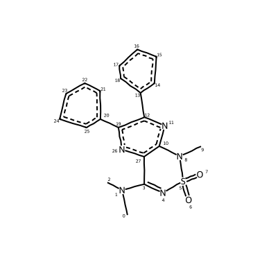 CN(C)C1=NS(=O)(=O)N(C)c2nc(-c3ccccc3)c(-c3ccccc3)nc21